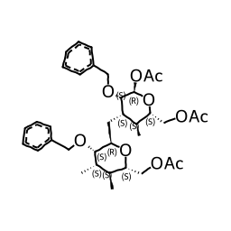 CC(=O)OC[C@H]1O[C@H](C[C@H]2[C@H](C)[C@@H](COC(C)=O)O[C@H](OC(C)=O)[C@H]2OCc2ccccc2)[C@@H](OCc2ccccc2)[C@@H](C)[C@@H]1C